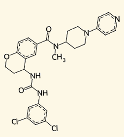 CN(C(=O)c1ccc2c(c1)C(NC(=O)Nc1cc(Cl)cc(Cl)c1)CCO2)C1CCN(c2ccncc2)CC1